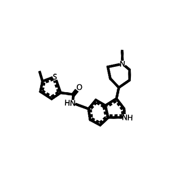 Cc1ccc(C(=O)Nc2ccc3[nH]cc(C4CCN(C)CC4)c3c2)s1